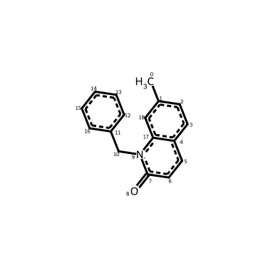 Cc1ccc2ccc(=O)n(Cc3ccccc3)c2c1